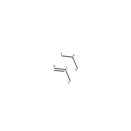 C=CC.CCC